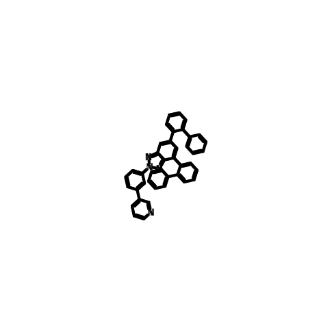 c1ccc(-c2ccccc2-c2cc(-c3ccccc3-c3ccccc3)c3nn(-c4cccc(-c5cccnc5)c4)nc3c2)cc1